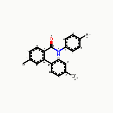 CC(=O)c1ccc(NC(=O)c2ccc(C)cc2-c2ccc(C(F)(F)F)cc2)cc1